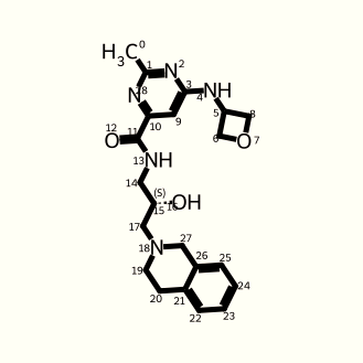 Cc1nc(NC2COC2)cc(C(=O)NC[C@H](O)CN2CCc3ccccc3C2)n1